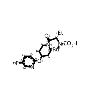 CC[C@@H](C(=O)N1CCC(Oc2ccc(F)cn2)CC1)N(C(=O)O)C(C)(C)C